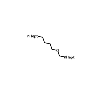 CCCCCCC[CH]OCCCCCCCCCCC